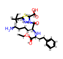 CCOC(=O)[C@H](CCc1ccccc1)N[C@@H](CCCCN)C(=O)N1N=C(C(C)(C)C)SC1C(=O)O